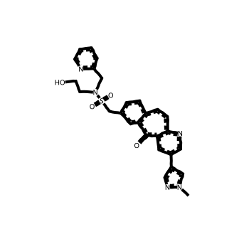 Cn1cc(-c2cnc3ccc4ccc(CS(=O)(=O)N(CCO)Cc5ccccn5)cc4c(=O)c3c2)cn1